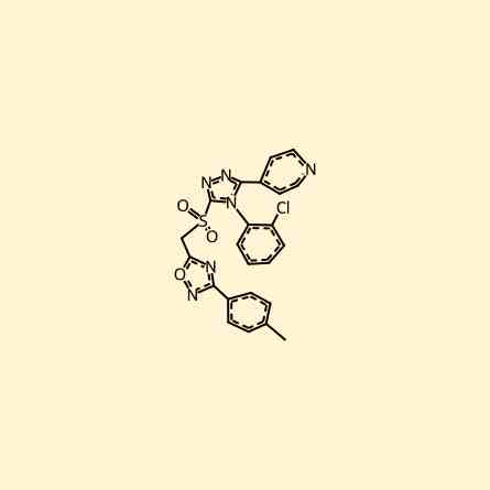 Cc1ccc(-c2noc(CS(=O)(=O)c3nnc(-c4ccncc4)n3-c3ccccc3Cl)n2)cc1